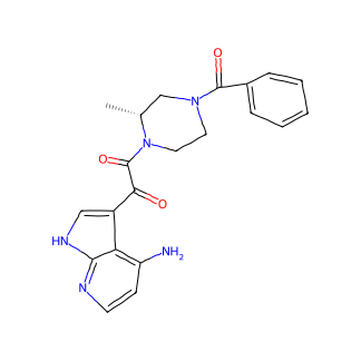 C[C@@H]1CN(C(=O)c2ccccc2)CCN1C(=O)C(=O)c1c[nH]c2nccc(N)c12